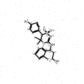 CC(=O)c1ccc(C2C(C)(C)OC(N[C@@H](CCO)c3ccccc3F)=NS2(=O)=O)cc1